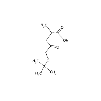 CC(CC(=O)CSC(C)(C)C)C(=O)O